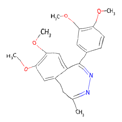 COc1ccc(C2=NN=C(C)Cc3cc(OC)c(OC)cc32)cc1OC